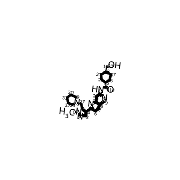 Cn1ncc(-c2ccc3cnc(NC(=O)[C@H]4CC[C@H](CO)CC4)cc3n2)c1CN1CCCCC1